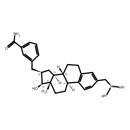 CCCN(CCC)Cc1ccc2c(c1)CC[C@@H]1[C@@H]2CC[C@]2(C)[C@@H](O)[C@@H](Cc3cccc(C(N)=O)c3)C[C@@H]12